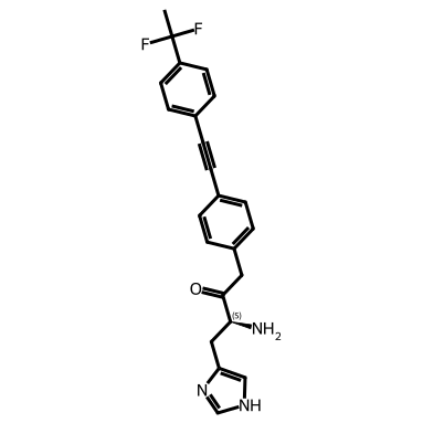 CC(F)(F)c1ccc(C#Cc2ccc(CC(=O)[C@@H](N)Cc3c[nH]cn3)cc2)cc1